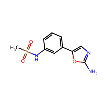 CS(=O)(=O)Nc1cccc(-c2cnc(N)o2)c1